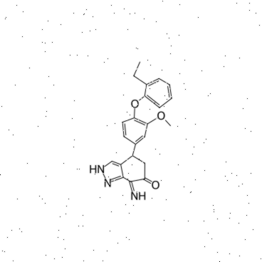 CCc1ccccc1Oc1ccc(C2CC(=O)C(=N)c3n[nH]cc32)cc1OC